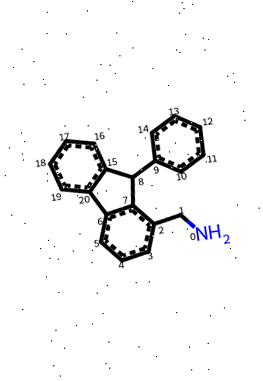 NCc1cccc2c1C(c1ccccc1)c1ccccc1-2